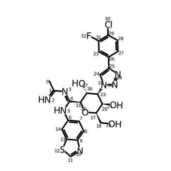 CC(=N)/N=C(\Nc1ccc2ncsc2c1)[C@@H]1O[C@H](CO)[C@H](O)[C@H](n2cc(-c3ccc(Cl)c(F)c3)nn2)[C@H]1O